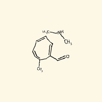 CNC.Cc1ccccc1C=O